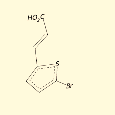 O=C(O)C=Cc1ccc(Br)s1